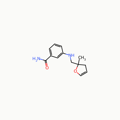 CC1(CNc2cccc(C(N)=O)c2)CC=CO1